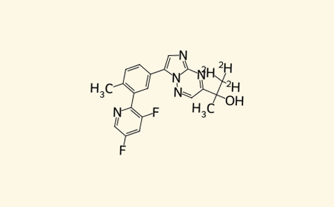 [2H]C([2H])([2H])C(C)(O)c1cnn2c(-c3ccc(C)c(-c4ncc(F)cc4F)c3)cnc2n1